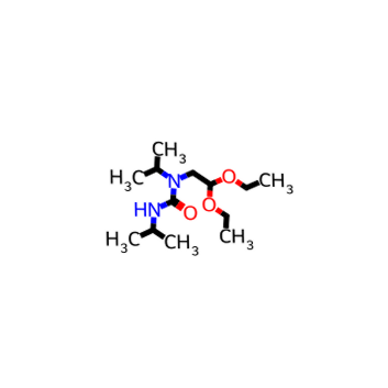 CCOC(CN(C(=O)NC(C)C)C(C)C)OCC